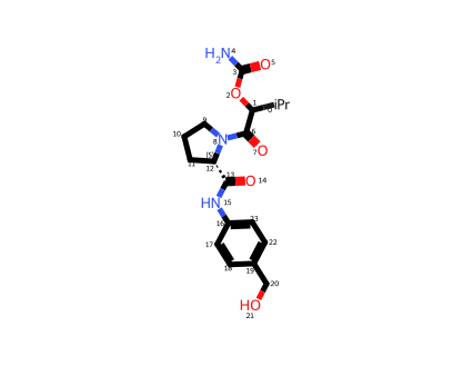 CC(C)C(OC(N)=O)C(=O)N1CCC[C@H]1C(=O)Nc1ccc(CO)cc1